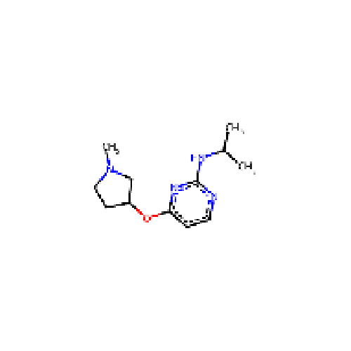 CC(C)Nc1nccc(OC2CCN(C)C2)n1